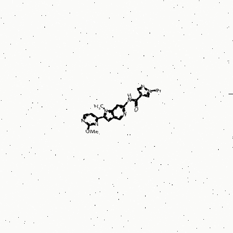 COc1nccc(-c2cc3cnc(NC(=O)c4cnn(C(C)C)c4)cc3n2C)n1